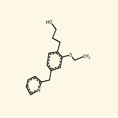 CCOc1cc(Cc2ccccn2)ccc1CCCO